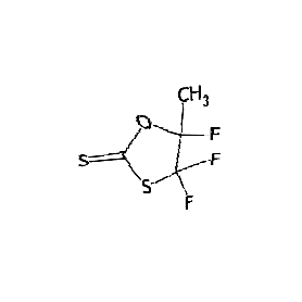 CC1(F)OC(=S)SC1(F)F